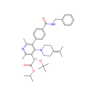 CC(C)=C1CCN(c2c(-c3ccc(C(=O)NCc4ccccc4)cc3)c(C)nc(C)c2[C@H](OC(C)(C)C)C(=O)OC(C)C)CC1